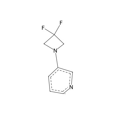 FC1(F)CN(c2cc[c]nc2)C1